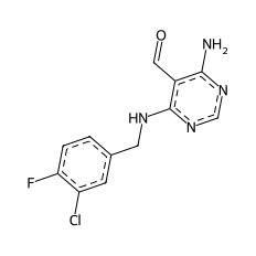 Nc1ncnc(NCc2ccc(F)c(Cl)c2)c1C=O